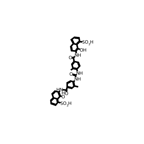 Cc1cc(C(=O)Nc2ccc3cccc(S(=O)(=O)O)c3c2O)ccc1NC(=O)Nc1ccc(C(=O)Nc2ccc3cccc(S(=O)(=O)O)c3c2O)cc1C